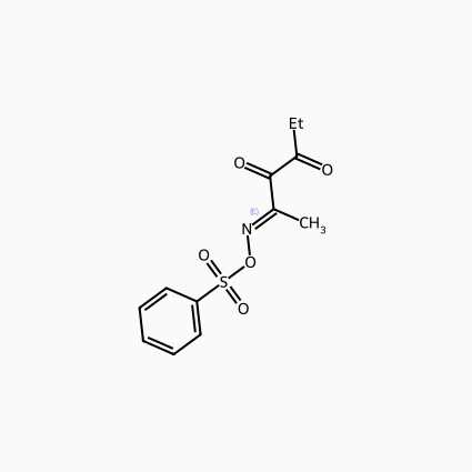 CCC(=O)C(=O)/C(C)=N/OS(=O)(=O)c1ccccc1